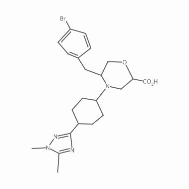 Cc1nc(C2CCC(N3CC(C(=O)O)OCC3Cc3ccc(Br)cc3)CC2)nn1C